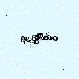 CC(NCCS(=O)(=O)c1ccccn1)C1(c2cc3c(Nc4ccc(OCc5cccc(F)c5)c(Cl)c4)ncnc3cc2F)CC=CO1